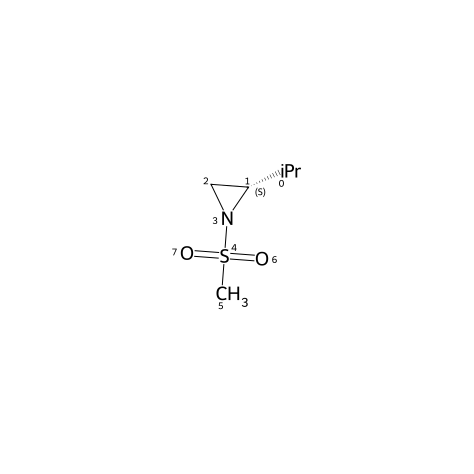 CC(C)[C@H]1CN1S(C)(=O)=O